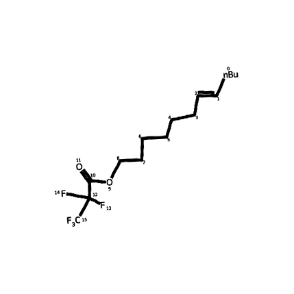 CCCC/C=C/CCCCCCOC(=O)C(F)(F)C(F)(F)F